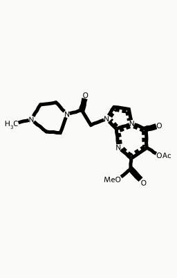 COC(=O)c1nc2n(CC(=O)N3CCN(C)CC3)ccn2c(=O)c1OC(C)=O